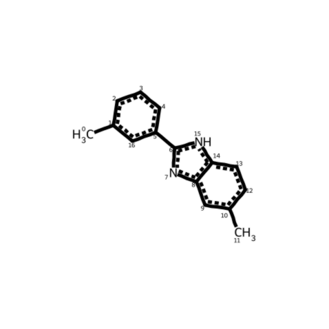 Cc1cccc(-c2nc3cc(C)ccc3[nH]2)c1